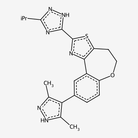 Cc1n[nH]c(C)c1-c1ccc2c(c1)-c1nc(-c3nc(C(C)C)n[nH]3)sc1CCO2